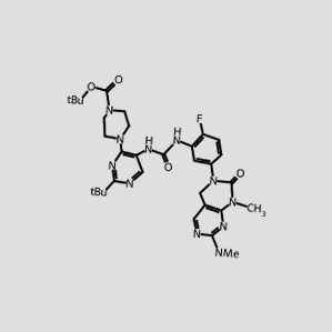 CNc1ncc2c(n1)N(C)C(=O)N(c1ccc(F)c(NC(=O)Nc3cnc(C(C)(C)C)nc3N3CCN(C(=O)OC(C)(C)C)CC3)c1)C2